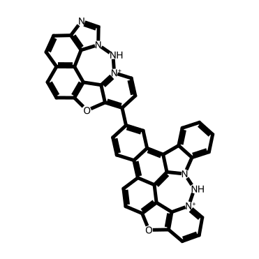 c1ccc2c(c1)c1c3cc(-c4cc[n+]5[nH]n6cnc7ccc8ccc9oc4c5c9c8c76)ccc3c3ccc4oc5ccc[n+]6[nH]n2c1c3c4c56